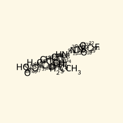 C=C(C)[C@@H]1CC[C@]2(NCCN3CCN(S(=O)(=O)c4ccc(F)cc4)CC3)CC[C@]3(C)[C@H](CCC4[C@@]5(C)CC=C(c6ccc(C(=O)O)cc6)C(C)(C)C5CC[C@]43C)C12